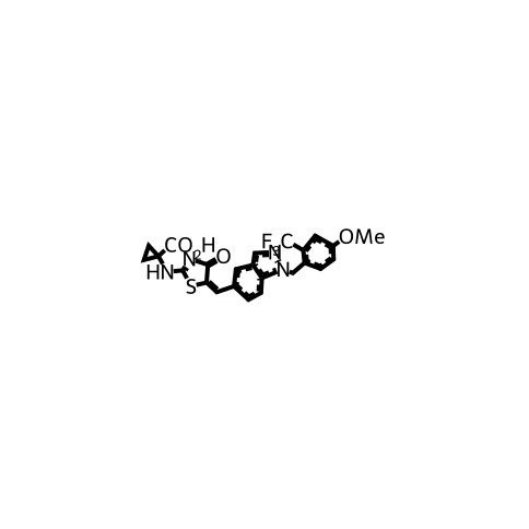 COc1ccc(Cn2ncc3cc(C=C4SC(NC5(C(=O)O)CC5)=NC4=O)ccc32)c(C(F)(F)F)c1